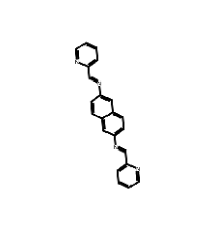 C(=N\c1ccc2cc(/N=C/c3ccccn3)ccc2c1)/c1ccccn1